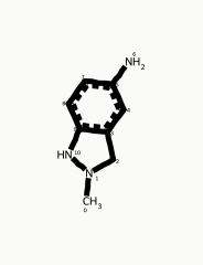 CN1Cc2cc(N)ccc2N1